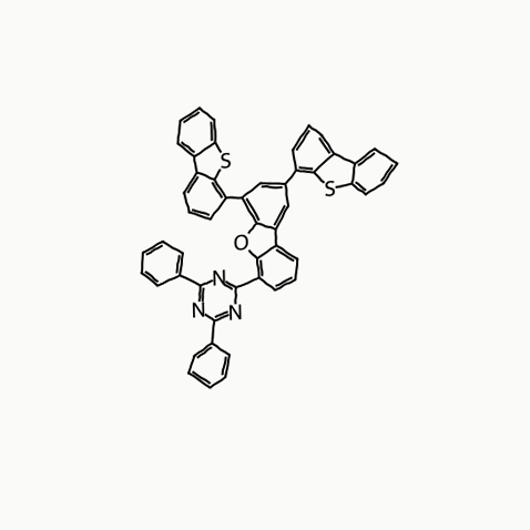 c1ccc(-c2nc(-c3ccccc3)nc(-c3cccc4c3oc3c(-c5cccc6c5sc5ccccc56)cc(-c5cccc6c5sc5ccccc56)cc34)n2)cc1